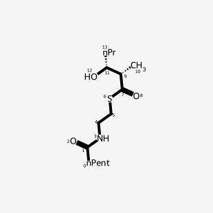 CCCCCC(=O)NCCSC(=O)[C@@H](C)[C@H](O)CCC